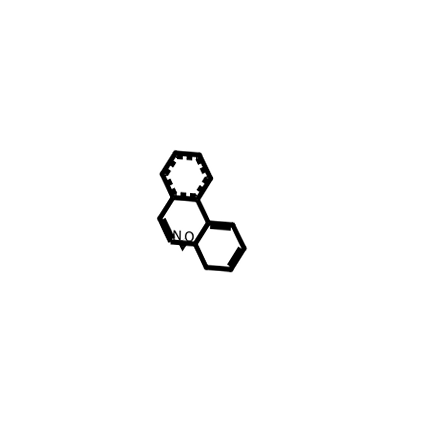 C1=CCC23OC=NC2=Cc2ccccc2C3=C1